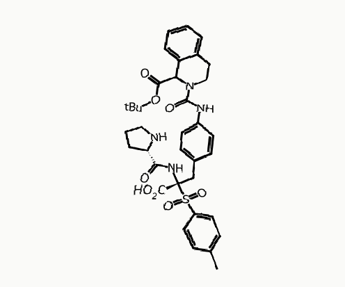 Cc1ccc(S(=O)(=O)[C@@](Cc2ccc(NC(=O)N3CCc4ccccc4C3C(=O)OC(C)(C)C)cc2)(NC(=O)[C@@H]2CCCN2)C(=O)O)cc1